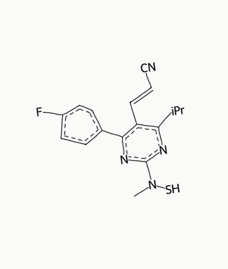 CC(C)c1nc(N(C)S)nc(-c2ccc(F)cc2)c1/C=C/C#N